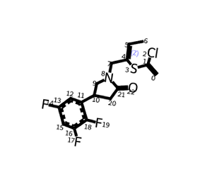 C=C(Cl)S/C(=C\C)CN1CC(c2cc(F)cc(F)c2F)CC1=O